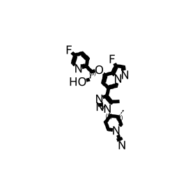 Cc1c(-c2cc(O[C@H](CO)c3ccc(F)cn3)c3c(F)cnn3c2)nnn1[C@H]1CCN(C#N)C[C@H]1C